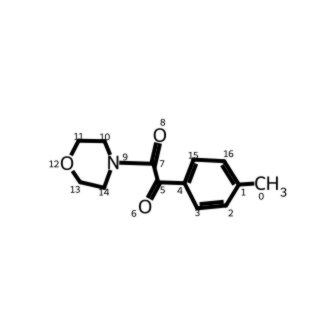 Cc1ccc(C(=O)C(=O)N2CCOCC2)cc1